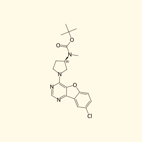 CN(C(=O)OC(C)(C)C)[C@@H]1CCN(c2ncnc3c2oc2ccc(Cl)cc23)C1